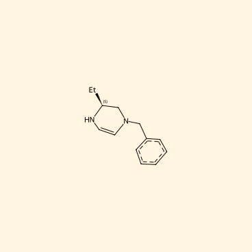 CC[C@H]1CN(Cc2ccccc2)C=CN1